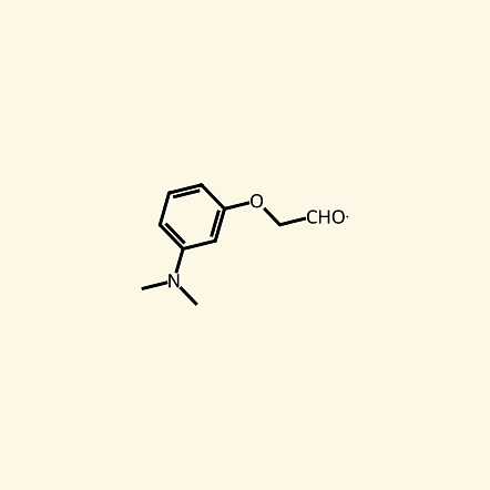 CN(C)c1cccc(OC[C]=O)c1